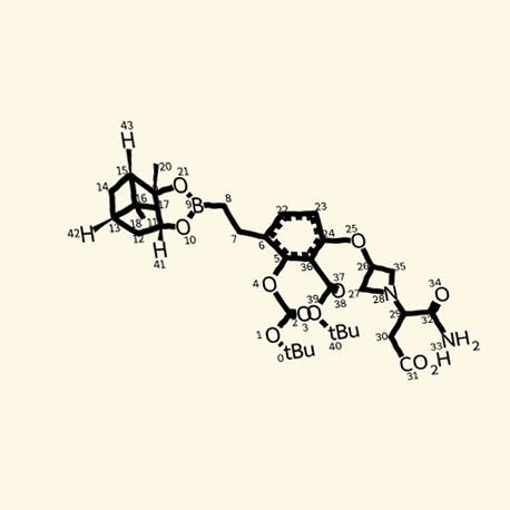 CC(C)(C)OC(=O)Oc1c(CCB2O[C@@H]3C[C@@H]4C[C@@H](C4(C)C)[C@]3(C)O2)ccc(OC2CN(C(CC(=O)O)C(N)=O)C2)c1C(=O)OC(C)(C)C